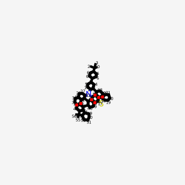 CC(C)(C)c1ccc(-c2ccc(N(c3ccc4sc5ccccc5c4c3)c3ccc4ccccc4c3-c3ccccc3-c3cccc4c3-c3ccccc3C4(C)C)c(-c3ccccc3)c2)cc1